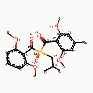 COc1cccc(OC)c1C(=O)P(=O)(CC(C)C)C(=O)c1c(OC)cc(C)cc1OC